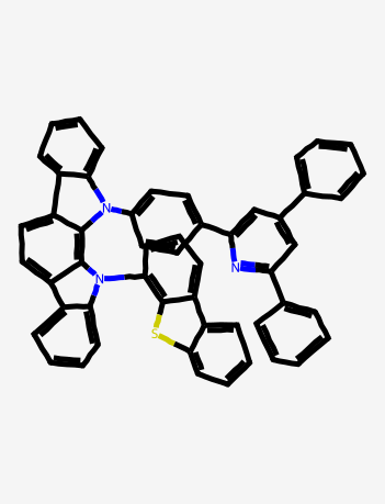 c1ccc(-c2cc(-c3ccccc3)nc(-c3ccc(-n4c5ccccc5c5ccc6c7ccccc7n(-c7cccc8c7sc7ccccc78)c6c54)cc3)c2)cc1